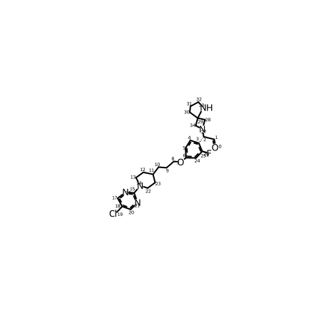 O=C[C@H](c1ccc(OCCCC2CCN(c3ncc(Cl)cn3)CC2)cc1F)N1CC2(CCCN2)C1